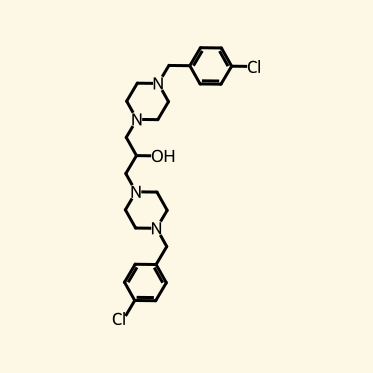 OC(CN1CCN(Cc2ccc(Cl)cc2)CC1)CN1CCN(Cc2ccc(Cl)cc2)CC1